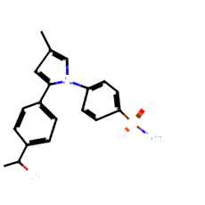 Cc1cc(-c2ccc(C(C)O)cc2)n(-c2ccc(S(N)(=O)=O)cc2)c1